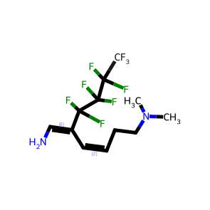 CN(C)CC/C=C\C(=C/N)C(F)(F)C(F)(F)C(F)(F)C(F)(F)F